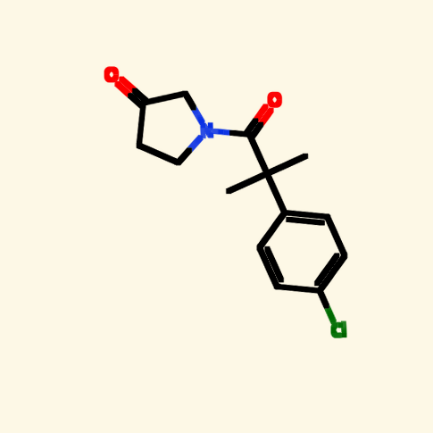 CC(C)(C(=O)N1CCC(=O)C1)c1ccc(Cl)cc1